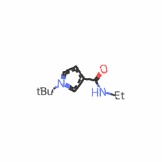 CCNC(=O)c1ccn(C(C)(C)C)c1